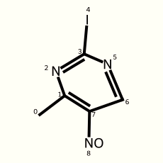 Cc1nc(I)ncc1N=O